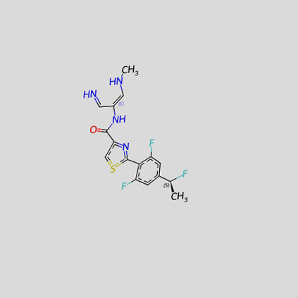 CN/C=C(\C=N)NC(=O)c1csc(-c2c(F)cc([C@H](C)F)cc2F)n1